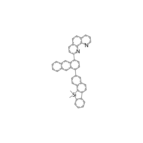 C[Si]1(C)c2ccccc2-c2ccc3cc(-c4ccc(-c5ccc6ccc7cccnc7c6n5)c5cc6ccccc6cc45)ccc3c21